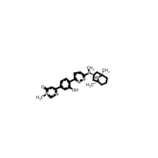 CN(c1ccc(-c2ccc(-c3cc(=O)n(C)cn3)cc2O)nn1)[C@@H]1C[C@]2(C)CCC[C@](C)(C1)N2